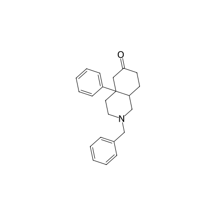 O=C1CCC2CN(Cc3ccccc3)CCC2(c2ccccc2)C1